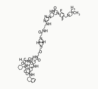 CN[C@@H](C)C(=O)N[C@H](C(=O)N1C[C@@H](NC(=O)CCC(=O)NCCOCCN2C[C@@H]3CN(CCC(=O)NCCCNc4cc(N5CCC6(CC5)CN(c5cc(F)c(CN7CCC(C)(C)CC7)cc5F)CC(=O)N6)ncn4)C[C@@H]3C2)C[C@H]1C(=O)NC1CCCc2ccccc21)C1CCCCC1